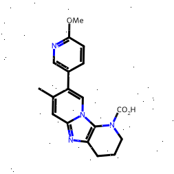 COc1ccc(-c2cn3c4c(nc3cc2C)CCCN4C(=O)O)cn1